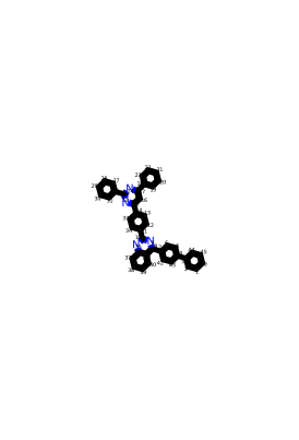 c1ccc(-c2ccc(-c3nc(-c4ccc(-c5cc(-c6ccccc6)nc(-c6ccccc6)n5)cc4)nc4ccccc34)cc2)cc1